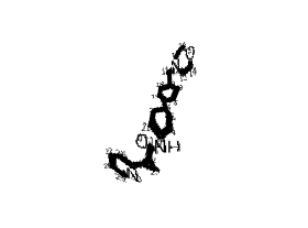 O=C(Nc1ccc(-c2ccc(CN3CCOCC3)cc2)cc1)C1CC1c1ccccn1